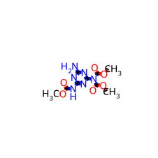 COC(=O)Nc1nc(N)nc(N(C(=O)OC)C(=O)OC)n1